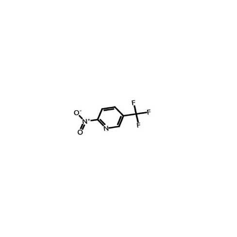 O=[N+]([O-])c1ccc(C(F)(F)F)cn1